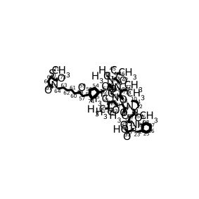 CC[C@H](C)[C@@H]([C@@H](CC(=O)N1CCC[C@H]1[C@H](OC)[C@@H](C)C(=O)N[C@@H](Cc1ccccc1)C(=O)O)OC)N(C)C(=O)[C@@H](NC(=O)[C@H](C(C)C)N(C)C(=O)OCc1ccc(CC(=O)CCCCCN2C(=O)CC(SC)C2=O)cc1)C(C)C